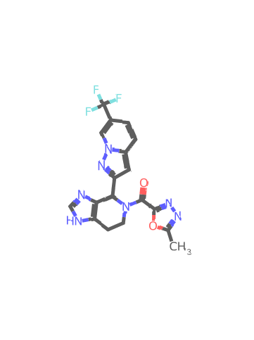 Cc1nnc(C(=O)N2CCc3[nH]cnc3C2c2cc3ccc(C(F)(F)F)cn3n2)o1